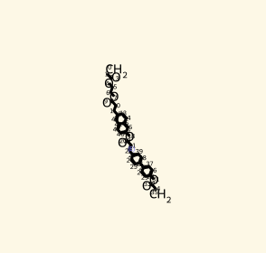 C=CC(=O)OCCOC(=O)CCc1ccc2cc(OC(=O)/C=C/c3ccc(-c4ccc(OC(=O)C=C)cc4)cc3)ccc2c1